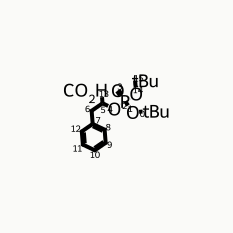 CC(C)(C)OP(=O)(OC(Cc1ccccc1)C(=O)O)OC(C)(C)C